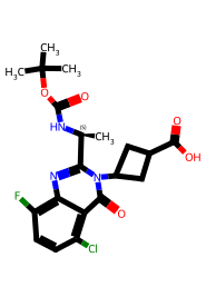 C[C@H](NC(=O)OC(C)(C)C)c1nc2c(F)ccc(Cl)c2c(=O)n1C1CC(C(=O)O)C1